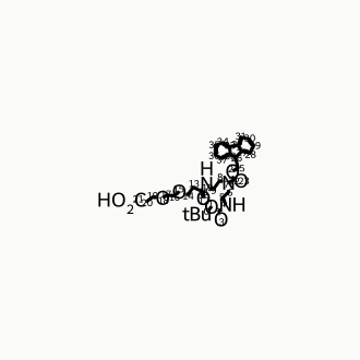 CC(C)(C)OC(=O)NCCN(CCNC(=O)CCOCCOCCC(=O)O)C(=O)OCC1c2ccccc2-c2ccccc21